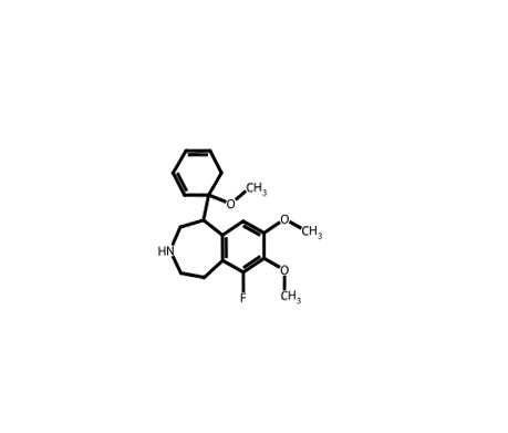 COc1cc2c(c(F)c1OC)CCNCC2C1(OC)C=CC=CC1